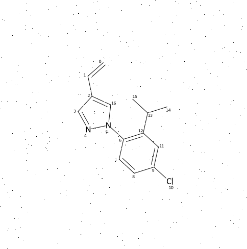 C=Cc1cnn(-c2ccc(Cl)cc2C(C)C)c1